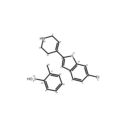 CCc1ccc2cc(C3=CCNCC3)sc2c1.Cc1ccccc1S(=O)(=O)O